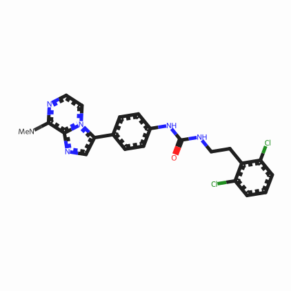 CNc1nccn2c(-c3ccc(NC(=O)NCCc4c(Cl)cccc4Cl)cc3)cnc12